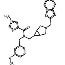 Cn1cnc(C(=O)N(Cc2cccc(OC(F)(F)F)c2)CC2C3CN(Cc4nc5ccccc5s4)CC32)c1